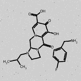 CC(C)CN1CCN2C(=O)c3c(O)c(=O)c(C(=O)O)cn3CC12.NCc1ccc(F)cc1